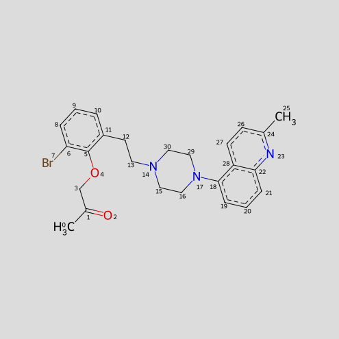 CC(=O)COc1c(Br)cccc1CCN1CCN(c2cccc3nc(C)ccc23)CC1